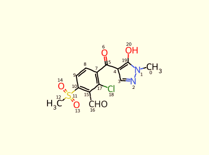 Cn1ncc(C(=O)c2ccc(S(C)(=O)=O)c(C=O)c2Cl)c1O